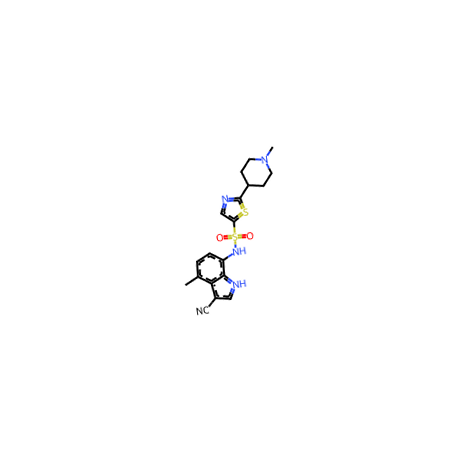 Cc1ccc(NS(=O)(=O)c2cnc(C3CCN(C)CC3)s2)c2[nH]cc(C#N)c12